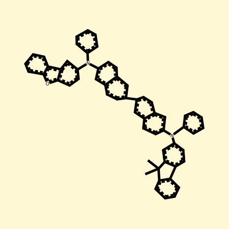 CC1(C)c2ccccc2-c2ccc(N(c3ccccc3)c3ccc4cc(-c5ccc6cc(N(c7ccccc7)c7ccc8oc9ccccc9c8c7)ccc6c5)ccc4c3)cc21